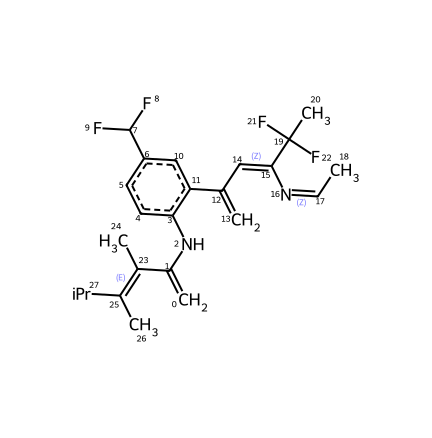 C=C(Nc1ccc(C(F)F)cc1C(=C)/C=C(\N=C/C)C(C)(F)F)/C(C)=C(\C)C(C)C